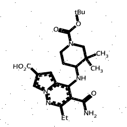 CCc1nn2cc(C(=O)O)cc2c(NC2CCN(C(=O)OC(C)(C)C)CC2(C)C)c1C(N)=O